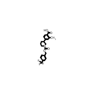 Cc1cc(C2CCCN(C(=O)OCc3ccc(C(F)(F)F)cc3)C2)ccc1C(=O)O